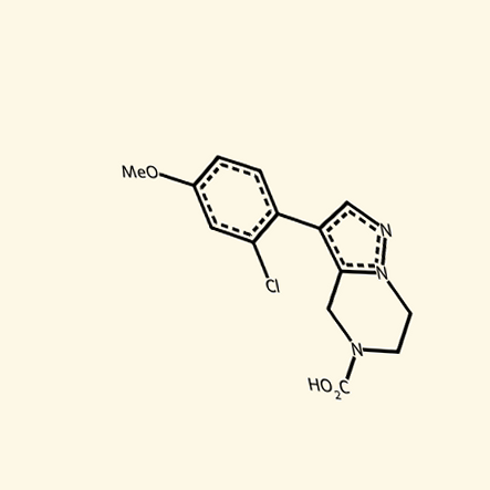 COc1ccc(-c2cnn3c2CN(C(=O)O)CC3)c(Cl)c1